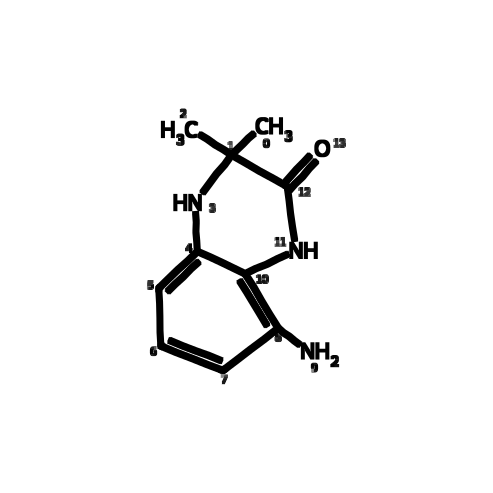 CC1(C)Nc2cccc(N)c2NC1=O